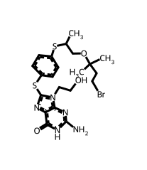 CC(COC(C)(C)CCBr)Sc1ccc(Sc2nc3c(=O)[nH]c(N)nc3n2CCO)cc1